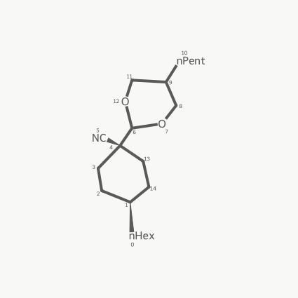 CCCCCC[C@H]1CC[C@](C#N)(C2OCC(CCCCC)CO2)CC1